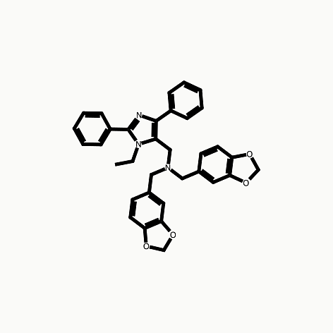 CCn1c(-c2ccccc2)nc(-c2ccccc2)c1CN(Cc1ccc2c(c1)OCO2)Cc1ccc2c(c1)OCO2